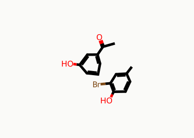 CC(=O)c1cccc(O)c1.Cc1ccc(O)c(Br)c1